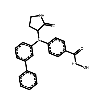 O=C(NO)c1ccc(N(c2cccc(-c3ccccc3)c2)C2CCNC2=O)cc1